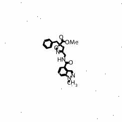 COC(=O)C1(Cc2ccccc2)CC(CNC(=O)c2cccc3c2cnn3C)=NO1